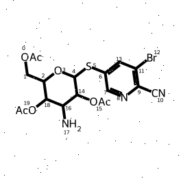 CC(=O)OCC1OC(Sc2cnc(C#N)c(Br)c2)C(OC(C)=O)C(N)C1OC(C)=O